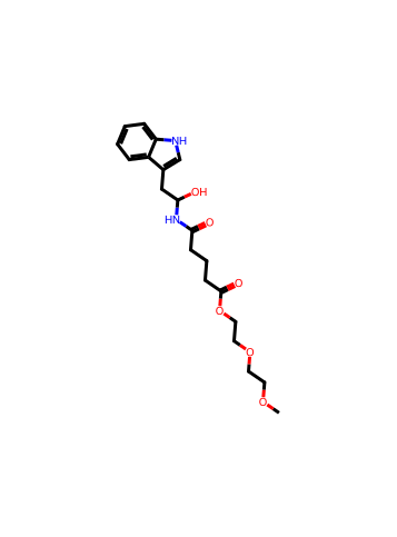 COCCOCCOC(=O)CCCC(=O)NC(O)Cc1c[nH]c2ccccc12